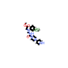 COC(=O)CN(CNC(=O)N1CCN(C2CCNCC2)CC1)c1ccccc1.Cl.Cl